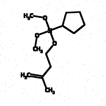 C=C(C)CCO[Si](OC)(OC)C1CCCC1